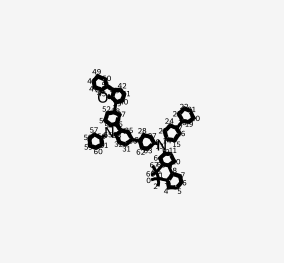 CC1(C)c2ccccc2-c2ccc(N(c3ccc(-c4ccccc4)cc3)c3ccc(-c4ccc5c(c4)c4cc(-c6cccc7c6oc6ccccc67)ccc4n5-c4ccccc4)cc3)cc2C1(C)C